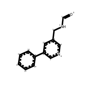 O=CNCc1cncc(-c2ccccc2)c1